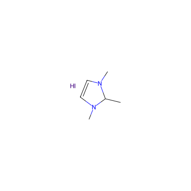 CC1N(C)C=CN1C.I